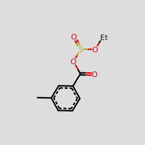 CCOS(=O)OC(=O)c1cccc(C)c1